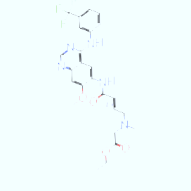 CCOC(=O)CN(C)C/C=C/C(=O)Nc1cc2c(Nc3cccc(C(F)(F)F)c3)ncnc2cc1OC